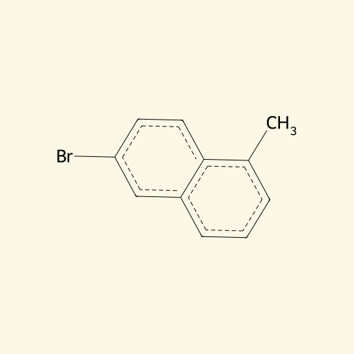 Cc1cccc2cc(Br)ccc12